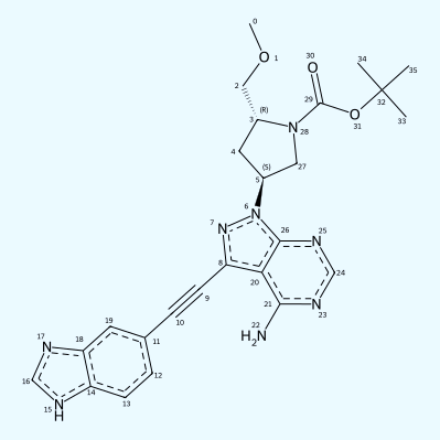 COC[C@H]1C[C@H](n2nc(C#Cc3ccc4[nH]cnc4c3)c3c(N)ncnc32)CN1C(=O)OC(C)(C)C